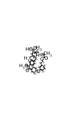 CNC(=O)OCCc1cccc(OC2CCC(C(=O)N(C)c3ccc(CN4CCN(C(=O)O)[C@@H](C)C4)c(C)c3)CC2)c1